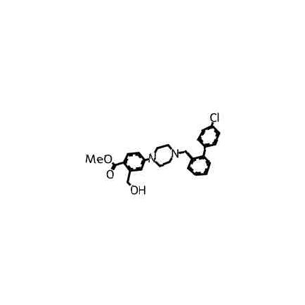 COC(=O)c1ccc(N2CCN(Cc3ccccc3-c3ccc(Cl)cc3)CC2)cc1CO